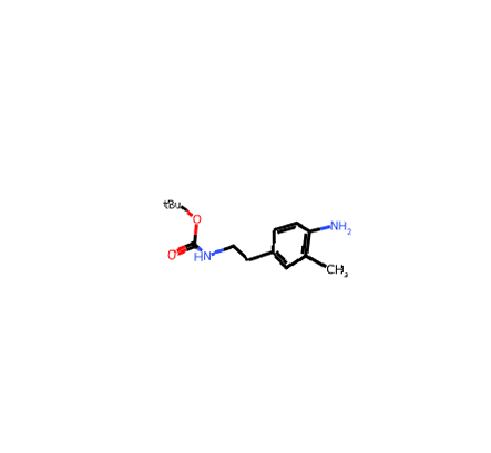 Cc1cc(CCNC(=O)OC(C)(C)C)ccc1N